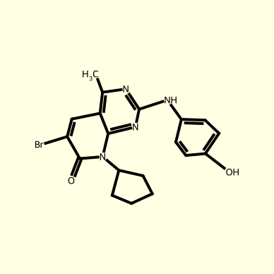 Cc1nc(Nc2ccc(O)cc2)nc2c1cc(Br)c(=O)n2C1CCCC1